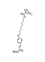 C=C(C)C(=O)OCCCCCCCCOc1ccc(C=CC(=O)OC)cc1